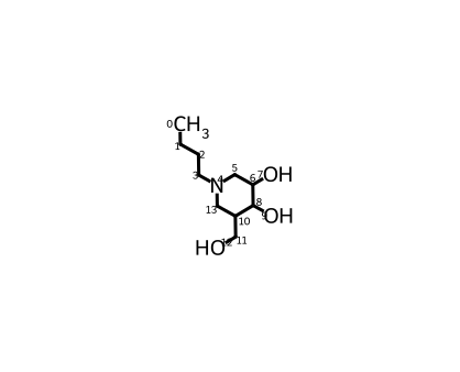 CCCCN1CC(O)C(O)C(CO)C1